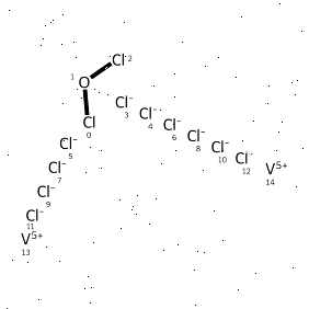 ClOCl.[Cl-].[Cl-].[Cl-].[Cl-].[Cl-].[Cl-].[Cl-].[Cl-].[Cl-].[Cl-].[V+5].[V+5]